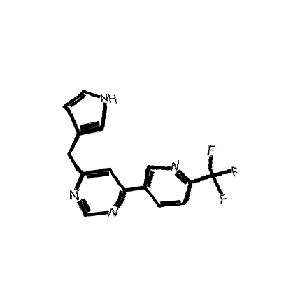 FC(F)(F)c1ccc(-c2cc(Cc3cc[nH]c3)ncn2)cn1